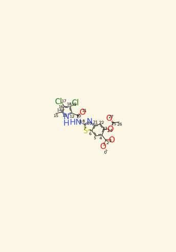 COC(=O)c1cc2sc(NC(=O)c3[nH]c(C)c(Cl)c3Cl)nc2cc1OC(C)=O